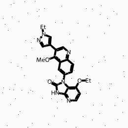 CCOc1ccnc2[nH]c(=O)n(-c3ccc4ncc(-c5cnn(CC)c5)c(OC)c4c3)c12